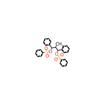 CC(C(OS(=O)(=O)c1ccccc1)c1ccccc1)C(OS(=O)(=O)c1ccccc1)c1ccccc1